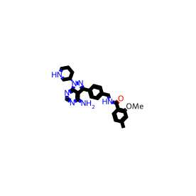 COc1cc(C)ccc1C(=O)NCc1ccc(-c2nn([C@@H]3CCCNC3)c3ncnc(N)c23)cc1